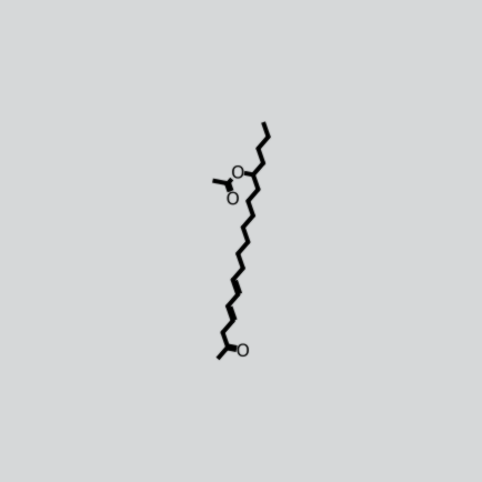 CCCCC(CCCCCCCC=CC=CCC(C)=O)OC(C)=O